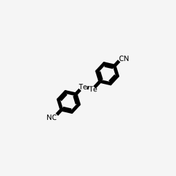 N#Cc1ccc([Te][Te]c2ccc(C#N)cc2)cc1